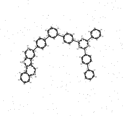 c1ccc(-c2ccc(-c3nc(-c4ccccc4)nc(-c4ccc(-c5cccc(-c6ccc(-c7cc8c(cn7)oc7c9ccccc9ncc87)cc6)c5)cc4)n3)cc2)cc1